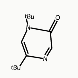 CC(C)(C)c1cn(C(C)(C)C)c(=O)cn1